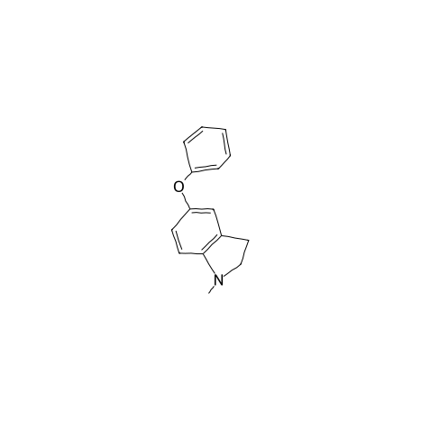 CN1CCc2cc(Oc3ccccc3)ccc21